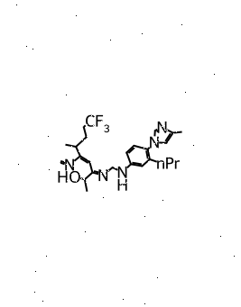 C=N/C(=C\C(=N/CNc1ccc(-n2cnc(C)c2)c(CCC)c1)C(C)O)C(C)CCC(F)(F)F